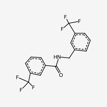 O=C(NCc1cccc(C(F)(F)F)c1)c1cccc(C(F)(F)F)c1